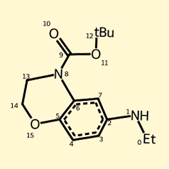 CCNc1ccc2c(c1)N(C(=O)OC(C)(C)C)CCO2